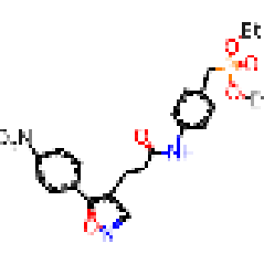 CCOP(=O)(Cc1ccc(NC(=O)CCc2cnoc2-c2ccc([N+](=O)[O-])cc2)cc1)OCC